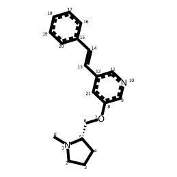 CN1CCC[C@H]1COc1cncc(C=Cc2ccccc2)c1